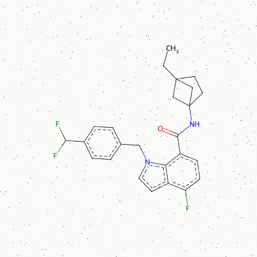 CCC12CCC(NC(=O)c3ccc(F)c4ccn(Cc5ccc(C(F)F)cc5)c34)(C1)C2